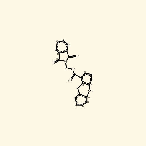 O=C(OCN1C(=O)c2ccccc2C1=O)c1cccc2c1Cc1ccccc1O2